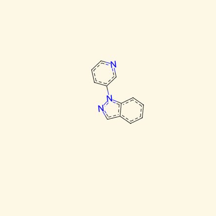 c1cncc(-n2ncc3ccccc32)c1